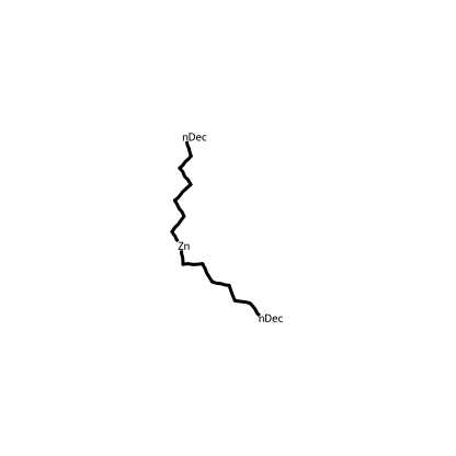 CCCCCCCCCCCCCCC[CH2][Zn][CH2]CCCCCCCCCCCCCCC